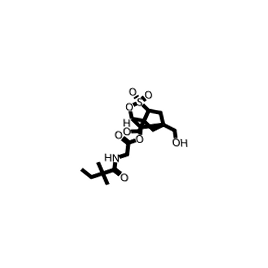 CCC(C)(C)C(=O)NCC(=O)OC1C2OS(=O)(=O)C3CC1(CO)CC23CO